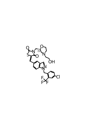 O=C1SC(=Cc2ccc3c(cnn3Cc3ccc(Cl)cc3C(F)(F)F)c2)C(=O)N1C[C@@H]1CN(CCO)CCO1